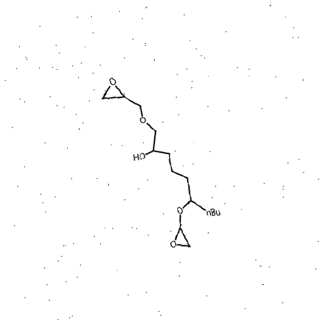 CCCCC(CCCC(O)COCC1CO1)OC1CO1